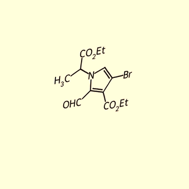 CCOC(=O)c1c(Br)cn(C(C)C(=O)OCC)c1C=O